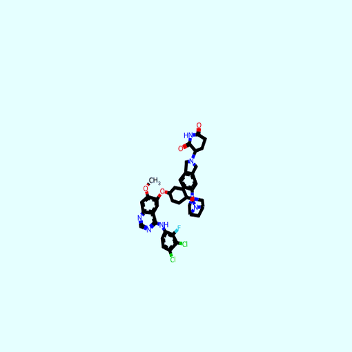 COc1cc2ncnc(Nc3ccc(Cl)c(Cl)c3F)c2cc1OC1CCC(CN2C3CC2CN(c2ccc4c(c2)CN(C2CCC(=O)NC2=O)C4)C3)CC1